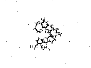 Cc1cccc(CN2CCOC(C(=O)N(Cc3cc(Cl)c4c(c3)OCCCO4)CC(C)C)C2)c1C